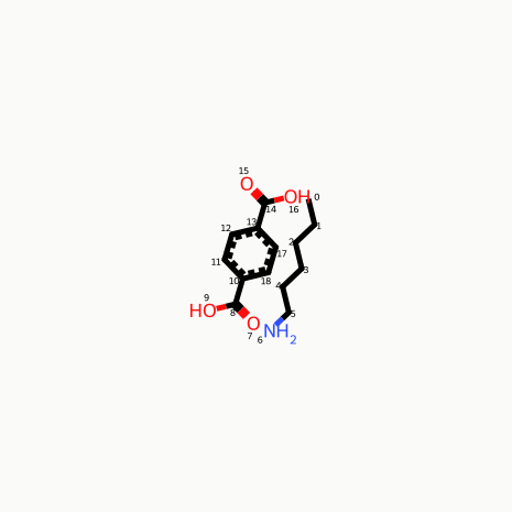 CCCCCCN.O=C(O)c1ccc(C(=O)O)cc1